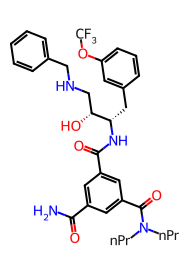 CCCN(CCC)C(=O)c1cc(C(N)=O)cc(C(=O)N[C@@H](Cc2cccc(OC(F)(F)F)c2)[C@H](O)CNCc2ccccc2)c1